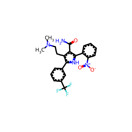 CN(C)CCc1c(-c2cccc(C(F)(F)F)c2)[nH]c(-c2ccccc2[N+](=O)[O-])c1C(N)=O